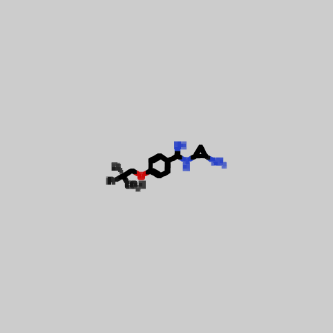 CC[C@](COc1ccc(C(=N)NC2C[C@H]2N)cc1)(C(=O)O)C(C)C